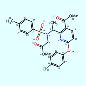 COC(=O)CN(C(C)c1nc(Oc2ccc(Cl)cc2)ccc1C(=O)OC)S(=O)(=O)c1ccc(C)cc1